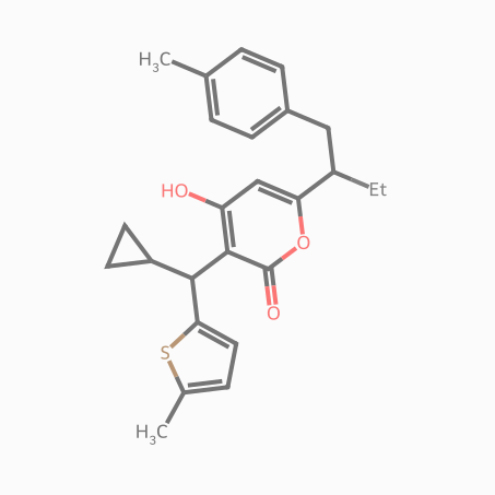 CCC(Cc1ccc(C)cc1)c1cc(O)c(C(c2ccc(C)s2)C2CC2)c(=O)o1